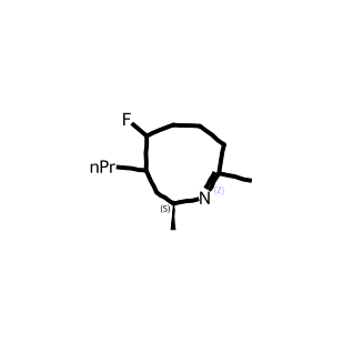 CCCC1C[C@H](C)/N=C(/C)CCCC1F